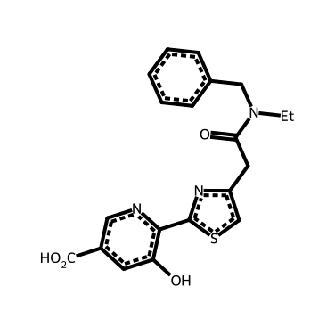 CCN(Cc1ccccc1)C(=O)Cc1csc(-c2ncc(C(=O)O)cc2O)n1